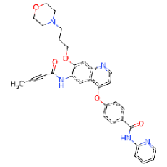 CC#CC(=O)Nc1cc2c(Oc3ccc(C(=O)Nc4ccccn4)cc3)ccnc2cc1OCCCN1CCOCC1